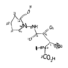 CCCCC(NC(=O)O)C(=O)C(=O)NN1CCCCC1=O